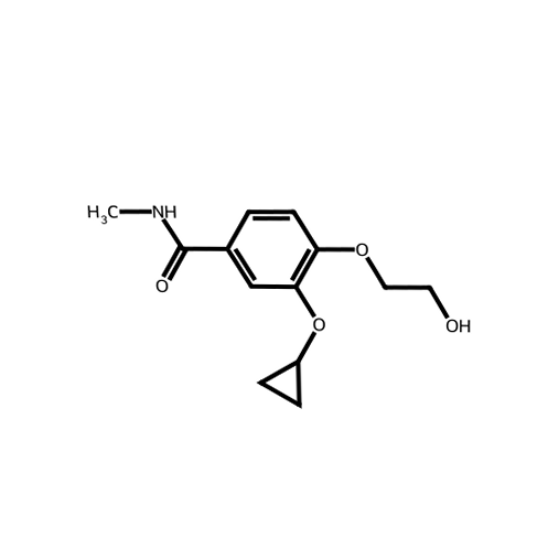 CNC(=O)c1ccc(OCCO)c(OC2CC2)c1